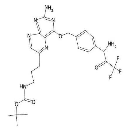 CC(C)(C)OC(=O)NCCCc1cnc2nc(N)nc(OCc3ccc(C(N)C(=O)C(F)(F)F)cc3)c2n1